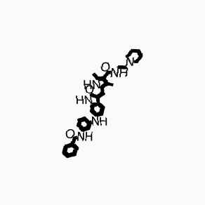 Cc1[nH]c(C=C2C(=O)Nc3cc(Nc4cccc(NC(=O)c5ccccc5)c4)ccc32)c(C)c1C(=O)NCCN1CCCCC1